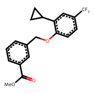 COC(=O)c1cccc(COc2ccc(C(F)(F)F)cc2C2CC2)c1